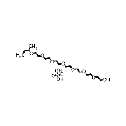 CCC(C)OCCOCCOCCOCCOCCOCCOCCO.O=S(=O)(O)O